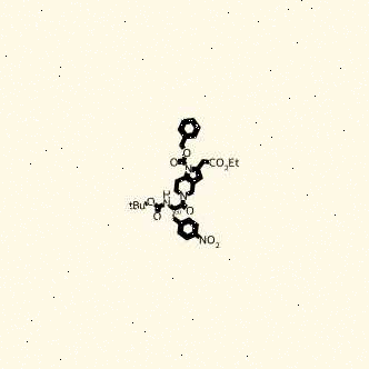 CCOC(=O)Cc1cc2c(n1C(=O)OCc1ccccc1)CCN(C(=O)[C@H](Cc1ccc([N+](=O)[O-])cc1)NC(=O)OC(C)(C)C)C2